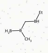 BB(C)CBCC